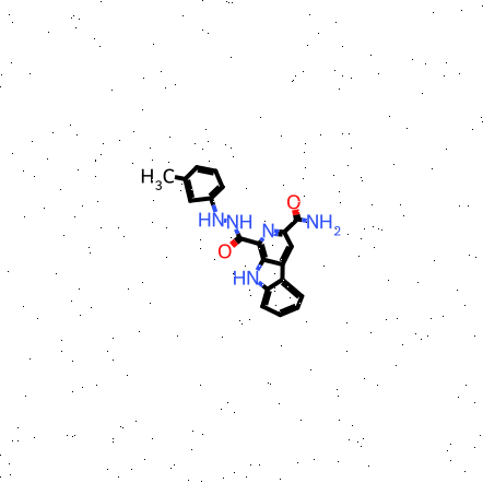 Cc1cccc(NNC(=O)c2nc(C(N)=O)cc3c2[nH]c2ccccc23)c1